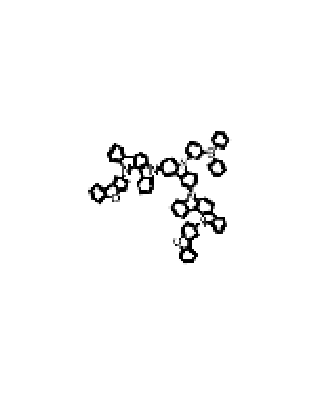 c1ccc(B(c2ccccc2)c2cccc(-n3c4ccc(-n5c6ccccc6c6c5ccc5c7ccccc7n(-c7ccc8oc9ccccc9c8c7)c56)cc4c4cc(-n5c6ccccc6c6c5ccc5c7ccccc7n(-c7ccc8oc9ccccc9c8c7)c56)ccc43)c2)cc1